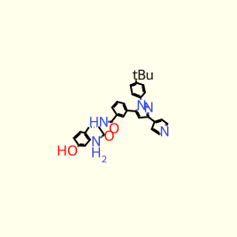 CC(C)(C)c1ccc(-n2nc(-c3ccncc3)cc2-c2cccc(C(=O)N[C@@H](Cc3ccc(O)cc3)C(N)=O)c2)cc1